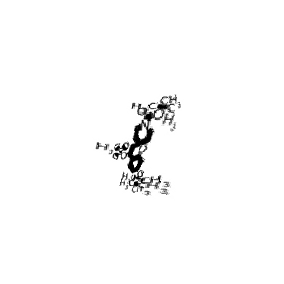 CC(C)(C)OC(=O)N1CCC2(C=C(OS(C)(=O)=O)c3ccc(O[Si](C)(C)C(C)(C)C)cc3O2)CC1